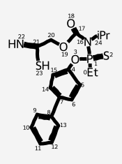 CCP(=S)(Oc1ccc(-c2ccccc2)cc1)N(C(=O)OCC(=N)S)C(C)C